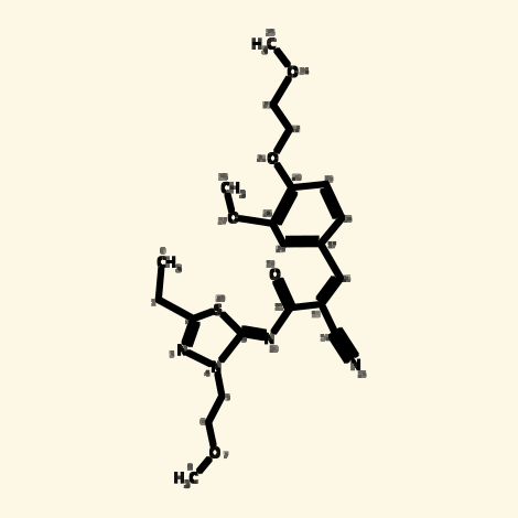 CCc1nn(CCOC)c(=NC(=O)C(C#N)=Cc2ccc(OCCOC)c(OC)c2)s1